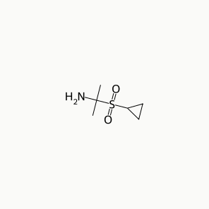 CC(C)(N)S(=O)(=O)C1CC1